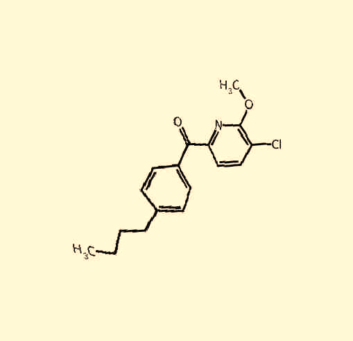 CCCCc1ccc(C(=O)c2ccc(Cl)c(OC)n2)cc1